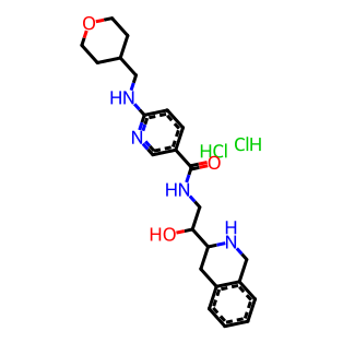 Cl.Cl.O=C(NCC(O)C1Cc2ccccc2CN1)c1ccc(NCC2CCOCC2)nc1